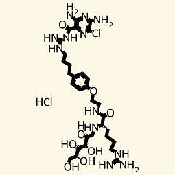 Cl.N=C(N)NCCCC[C@H](NC[C@H](O)[C@@H](O)[C@H](O)[C@H](O)CO)C(=O)NCCOc1ccc(CCCCNC(=N)NC(=O)c2nc(Cl)c(N)nc2N)cc1